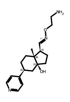 C[C@]12CC[C@H](c3ccncc3)C[C@@]1(O)CC[C@@H]2/C=N/OCCN